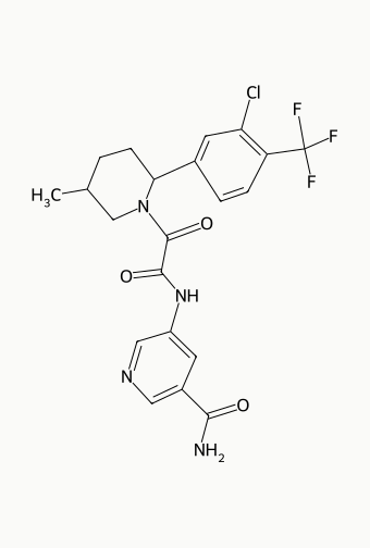 CC1CCC(c2ccc(C(F)(F)F)c(Cl)c2)N(C(=O)C(=O)Nc2cncc(C(N)=O)c2)C1